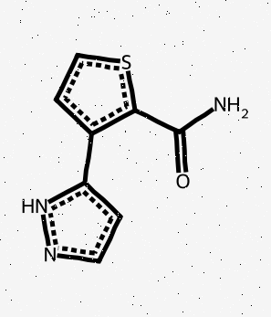 NC(=O)c1sccc1-c1ccn[nH]1